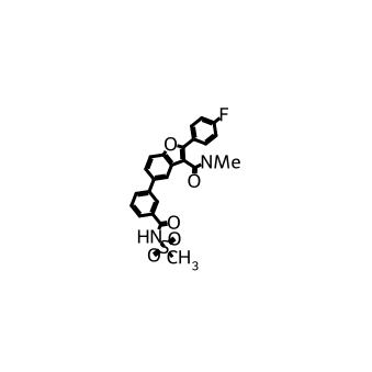 CNC(=O)c1c(-c2ccc(F)cc2)oc2ccc(-c3cccc(C(=O)NS(C)(=O)=O)c3)cc12